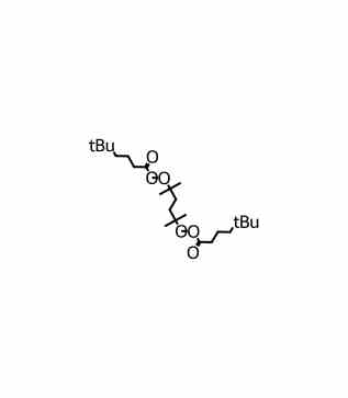 CC(C)(C)CCCC(=O)OOC(C)(C)CCC(C)(C)OOC(=O)CCCC(C)(C)C